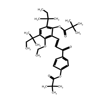 CCOc1c(C(C)(C)CC)cc(C(C)(C)CC)c(OC(=O)C(C)(C)C)c1/C=C/C(=O)c1ccc(OC(=O)C(C)(C)C)cc1